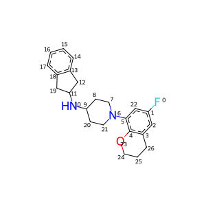 Fc1cc2c(c(N3CCC(NC4Cc5ccccc5C4)CC3)c1)OCCC2